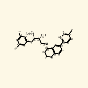 CC(=O)N[C@@H](Cc1cc(F)cc(F)c1)[C@H](O)CN[C@H]1CCCc2ccc(-c3ccc(C)nn3)cc21